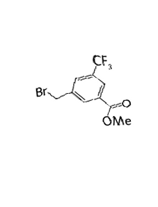 COC(=O)c1cc(CBr)cc(C(F)(F)F)c1